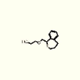 OCCOCC1SCCCc2ccccc21